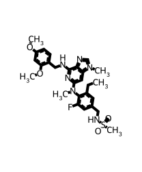 CCc1cc(CNS(C)(=O)=O)cc(F)c1N(C)c1cc2c(ncn2C)c(NCc2ccc(OC)cc2OC)n1